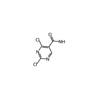 [NH]C(=O)c1cnc(Cl)nc1Cl